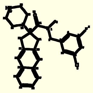 CN(Cc1cc(F)cc(Cl)c1)C(=O)C1(N2CCNCC2)Cc2cc3ccccc3cc2C1